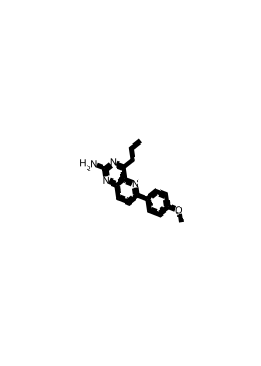 CCCc1nc(N)nc2ccc(-c3ccc(OC)cc3)nc12